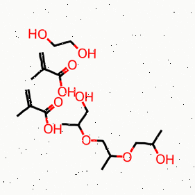 C=C(C)C(=O)O.C=C(C)C(=O)O.CC(O)COC(C)COC(C)CO.OCCO